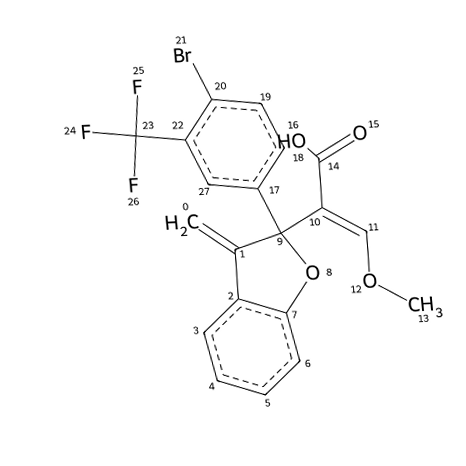 C=C1c2ccccc2OC1(/C(=C\OC)C(=O)O)c1ccc(Br)c(C(F)(F)F)c1